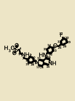 CS(=O)(=O)CCNCc1ccc(N2C=CC3=CNC=C(Nc4ccc(OCc5cccc(F)c5)cc4)C3=C2)cc1